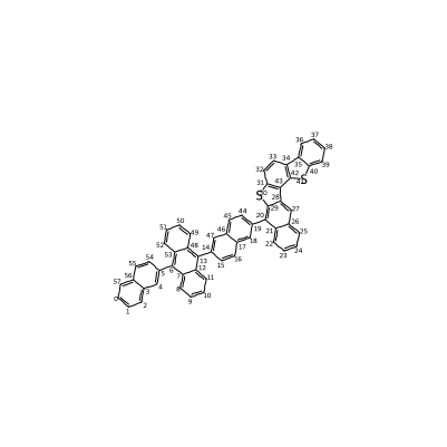 c1ccc2cc(-c3c4ccccc4c(-c4ccc5cc(-c6c7ccccc7cc7c6sc6ccc8c9ccccc9sc8c67)ccc5c4)c4ccccc34)ccc2c1